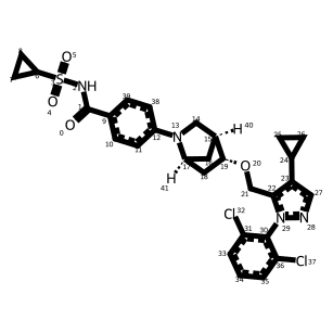 O=C(NS(=O)(=O)C1CC1)c1ccc(N2C[C@@H]3C[C@H]2C[C@H]3OCc2c(C3CC3)cnn2-c2c(Cl)cccc2Cl)cc1